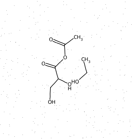 CC(=O)OC(=O)C(O)CO.CCO